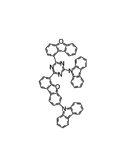 c1ccc2c(c1)oc1cccc(-c3nc(-c4cccc5c4oc4cc(-n6c7ccccc7c7ccccc76)ccc45)nc(-n4c5ccccc5c5ccccc54)n3)c12